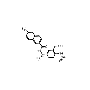 C[C@@H](NC(=O)c1ccc2cc(C(F)(F)F)ccc2c1)c1ccc(N[SH](=O)=O)c(CO)c1